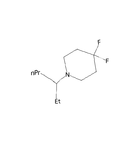 CCCC(CC)N1CCC(F)(F)CC1